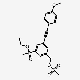 CCOP(C)(=O)c1cc(C#Cc2ccc(OC)cc2)cc(COS(C)(=O)=O)n1